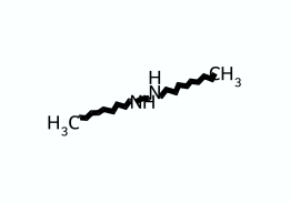 CCCCCCCCCCNCCNCCCCCCCCCC